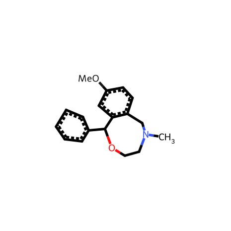 COc1ccc2c(c1)C(c1ccccc1)OCCN(C)C2